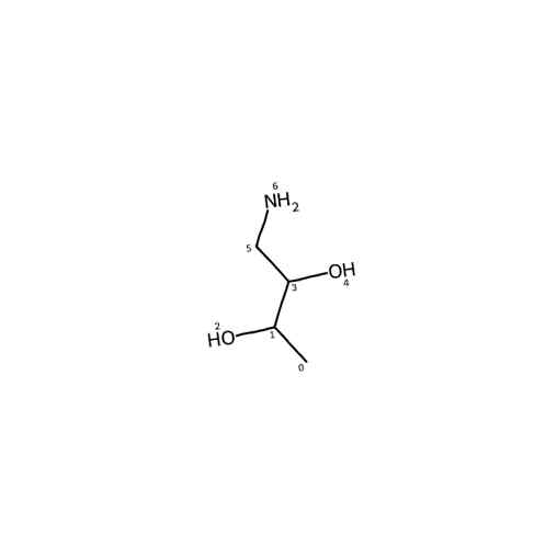 CC(O)C(O)CN